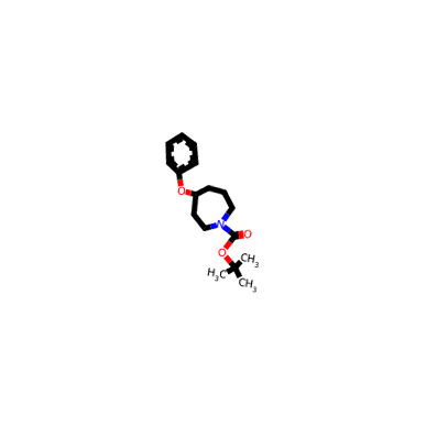 CC(C)(C)OC(=O)N1CCCC(Oc2ccccc2)CC1